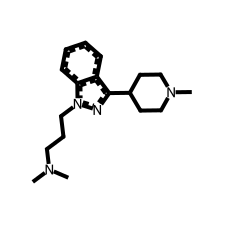 CN(C)CCCn1nc(C2CCN(C)CC2)c2ccccc21